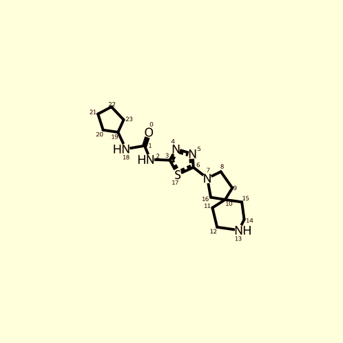 O=C(Nc1nnc(N2CCC3(CCNCC3)C2)s1)NC1CCCC1